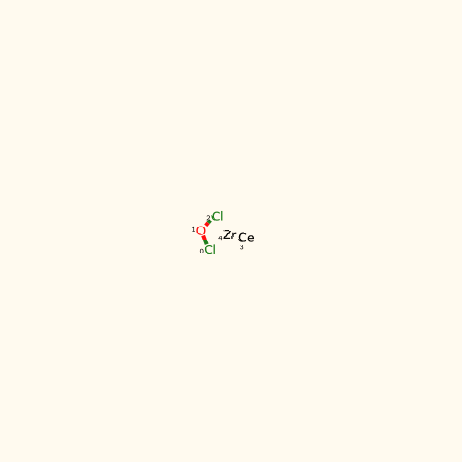 ClOCl.[Ce].[Zr]